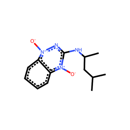 CC(C)CC(C)Nc1n[n+]([O-])c2ccccc2[n+]1[O-]